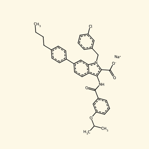 CCCCc1ccc(-c2ccc3c(NC(=O)c4cccc(OC(C)C)c4)c(C(=O)[O-])n(Cc4cccc(Cl)c4)c3c2)cc1.[Na+]